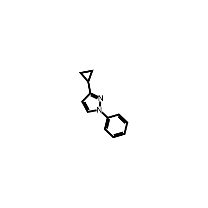 c1ccc(-n2ccc(C3CC3)n2)cc1